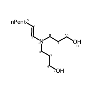 CCCCCC=CN(CCCO)CCCO